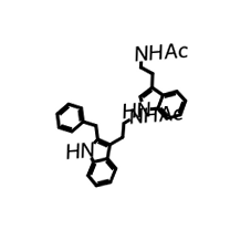 CC(=O)NCCc1c(Cc2ccccc2)[nH]c2ccccc12.CC(=O)NCCc1c[nH]c2ccccc12